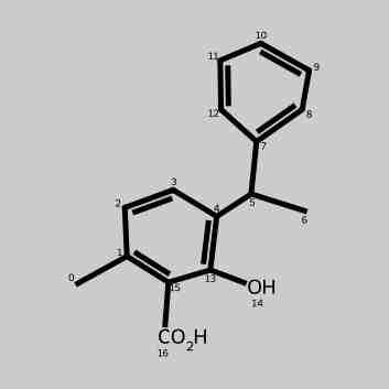 Cc1ccc(C(C)c2ccccc2)c(O)c1C(=O)O